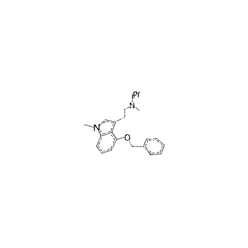 CC(C)N(C)CCc1cn(C)c2cccc(OCc3ccccc3)c12